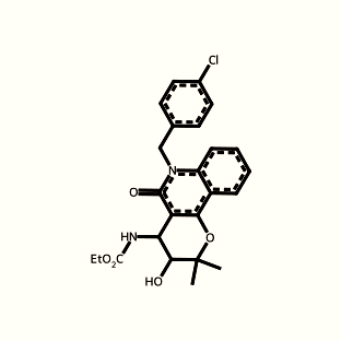 CCOC(=O)NC1c2c(c3ccccc3n(Cc3ccc(Cl)cc3)c2=O)OC(C)(C)C1O